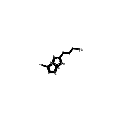 NCCCc1nn2c(I)cnc2s1